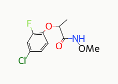 CONC(=O)C(C)Oc1ccc(Cl)cc1F